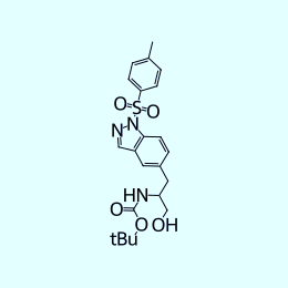 Cc1ccc(S(=O)(=O)n2ncc3cc(CC(CO)NC(=O)OC(C)(C)C)ccc32)cc1